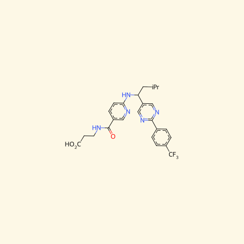 CC(C)CC(Nc1ccc(C(=O)NCCC(=O)O)cn1)c1cnc(-c2ccc(C(F)(F)F)cc2)nc1